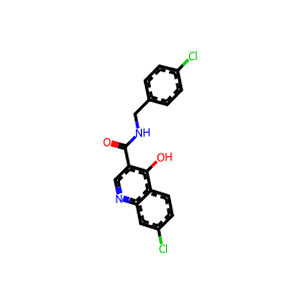 O=C(NCc1ccc(Cl)cc1)c1cnc2cc(Cl)ccc2c1O